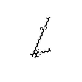 CC(C)CCCCOC(=O)CCCCCCCCCCCCC(C(C)C)C(C(=O)OCCCCC(C)C)C(C)C